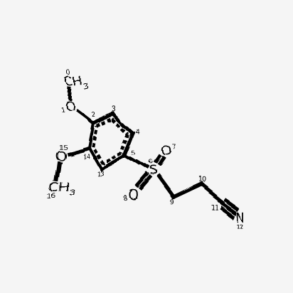 COc1ccc(S(=O)(=O)CCC#N)cc1OC